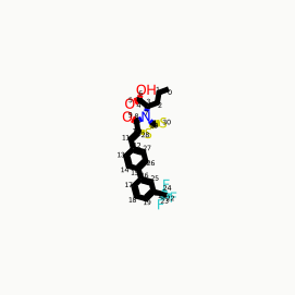 CCCC(C(=O)O)N1C(=O)C(=Cc2ccc(-c3cccc(C(F)(F)F)c3)cc2)SC1=S